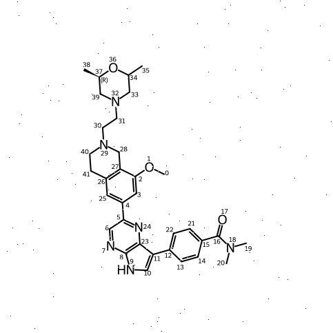 COc1cc(-c2cnc3[nH]cc(-c4ccc(C(=O)N(C)C)cc4)c3n2)cc2c1CN(CCN1CC(C)O[C@H](C)C1)CC2